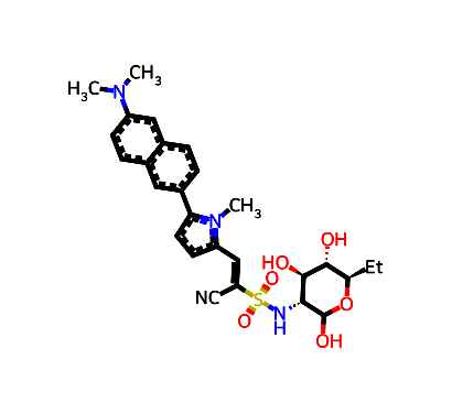 CC[C@H]1OC(O)[C@H](NS(=O)(=O)/C(C#N)=C/c2ccc(-c3ccc4cc(N(C)C)ccc4c3)n2C)[C@@H](O)[C@@H]1O